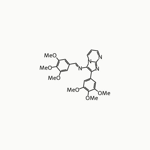 COc1cc(/C=N/c2c(-c3cc(OC)c(OC)c(OC)c3)nc3ncccn23)cc(OC)c1OC